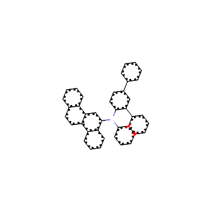 c1ccc(-c2ccc(N(c3ccccc3)c3cc4c5ccccc5ccc4c4ccccc34)c(-c3ccccc3)c2)cc1